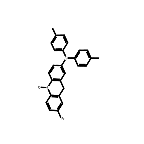 Cc1ccc([S+](c2ccc(C)cc2)c2ccc3c(c2)Cc2cc(C(C)C)ccc2[S+]3[O-])cc1